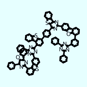 c1ccc(-c2nc(-c3ccccc3)nc(-c3cccc(-c4cccc5c4oc4cc(-c6nc(-c7ccc(-c8ccc(-c9nc(-c%10ccccc%10)nc(-c%10ccc%11sc%12cccc(-c%13nc(-c%14ccccc%14)c%14oc%15ccccc%15c%14n%13)c%12c%11c%10)n9)c9c8sc8ccccc89)cc7)c7sc8ccccc8c7n6)ccc45)c3)n2)cc1